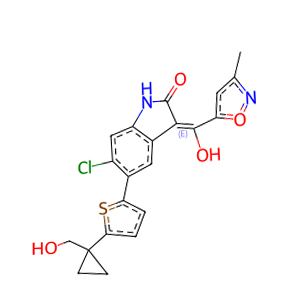 Cc1cc(/C(O)=C2\C(=O)Nc3cc(Cl)c(-c4ccc(C5(CO)CC5)s4)cc32)on1